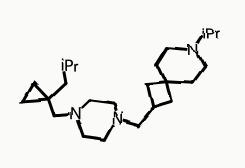 CC(C)CC1(CN2CCN(CC3CC4(CCN(C(C)C)CC4)C3)CC2)CC1